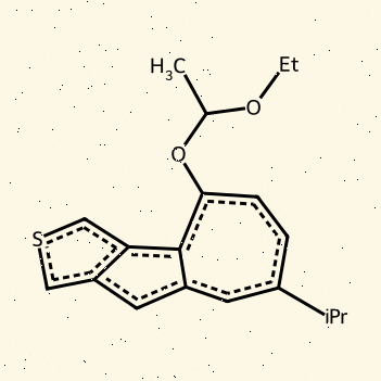 CCOC(C)Oc1ccc(C(C)C)cc2cc3cscc3c1-2